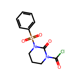 O=C(Cl)N1CCCN(S(=O)(=O)c2ccccc2)C1=O